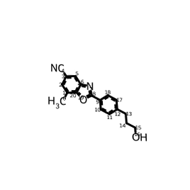 Cc1cc(C#N)cc2nc(-c3ccc(CCCO)cc3)oc12